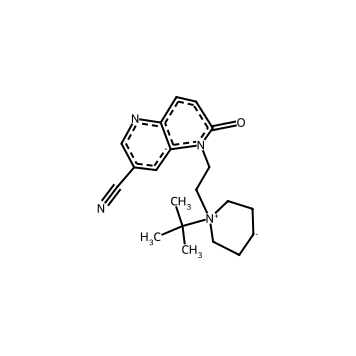 CC(C)(C)[N+]1(CCn2c(=O)ccc3ncc(C#N)cc32)CC[CH]CC1